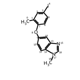 Cc1cc(I)ccc1Oc1ccc2c(c1)ncn2C